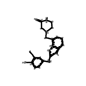 Cc1cc(Nc2nc3cccc(CN4CCNC(=O)C4)n3n2)ccc1F